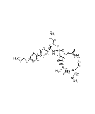 CCCCc1ccc(-c2ccc(C(=O)N[C@@H](CCCCN)C(=O)N[C@H]3CCC(=O)NCCCC[C@@H](C(=O)OC)NC(=O)[C@H](C)NC3=O)cc2)cc1